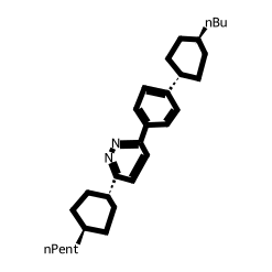 CCCCC[C@H]1CC[C@H](c2ccc(-c3ccc([C@H]4CC[C@H](CCCC)CC4)cc3)nn2)CC1